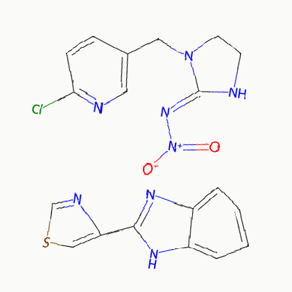 O=[N+]([O-])/N=C1\NCCN1Cc1ccc(Cl)nc1.c1ccc2[nH]c(-c3cscn3)nc2c1